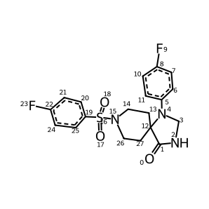 O=C1NCN(c2ccc(F)cc2)C12CCN(S(=O)(=O)c1ccc(F)cc1)CC2